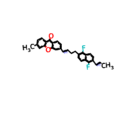 C/C=C/c1ccc2c(F)c(CC/C=C/c3ccc4c(=O)c5ccc(C)cc5oc4c3)ccc2c1F